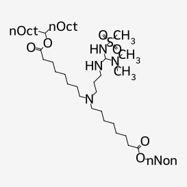 CCCCCCCCCOC(=O)CCCCCCCN(CCCCCCCC(=O)OC(CCCCCCCC)CCCCCCCC)CCCNC(NS(C)(=O)=O)N(C)C